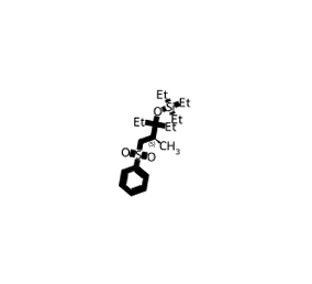 CCC(CC)(O[Si](CC)(CC)CC)[C@H](C)CS(=O)(=O)c1ccccc1